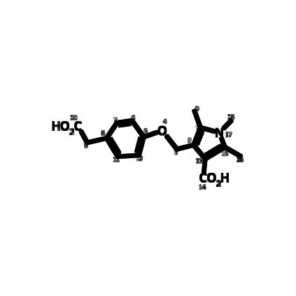 Cc1c(COc2ccc(CC(=O)O)cc2)c(C(=O)O)c(C)n1C